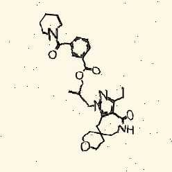 CCc1nn(CC(C)COC(=O)c2cccc(C(=O)N3CCCCC3)c2)c2c1C(=O)NCC1(CCOCC1)C2